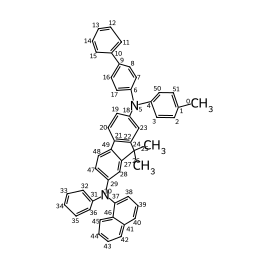 Cc1ccc(N(c2ccc(-c3ccccc3)cc2)c2ccc3c(c2)C(C)(C)c2cc(N(c4ccccc4)c4cccc5ccccc45)ccc2-3)cc1